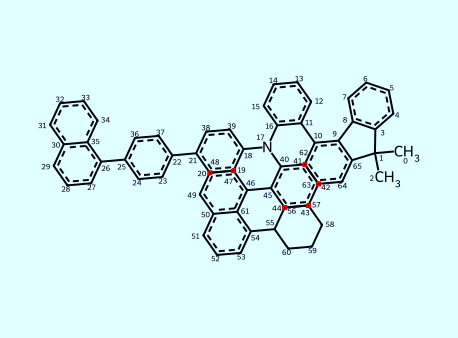 CC1(C)c2ccccc2-c2c(-c3ccccc3N(c3ccc(-c4ccc(-c5cccc6ccccc56)cc4)cc3)c3ccccc3-c3cccc4cccc(C5CCCCC5)c34)cccc21